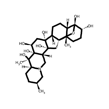 C[C@H]1CC[C@@H]2N(C1)C[C@@H]1[C@](O)([C@@H](O)C[C@@]3(O)[C@@H]4CC[C@@H]5[C@@]6(O)O[C@@]4(C[C@@]13O)[C@@]5(C)CC[C@H]6O)[C@]2(C)O